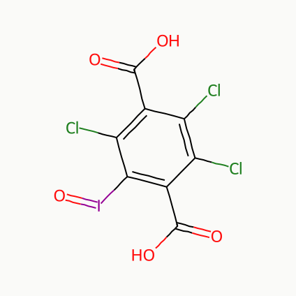 O=Ic1c(Cl)c(C(=O)O)c(Cl)c(Cl)c1C(=O)O